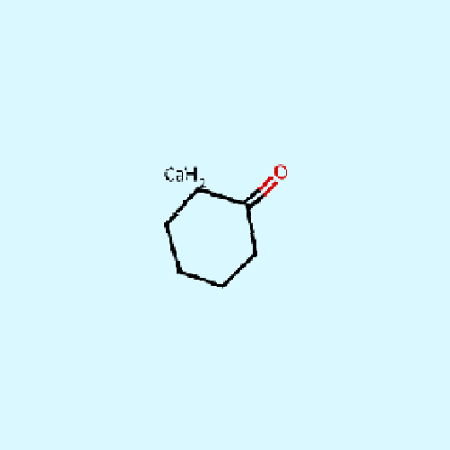 O=C1CCCCC1.[CaH2]